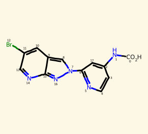 O=C(O)Nc1ccnc(-n2cc3cc(Br)cnc3n2)c1